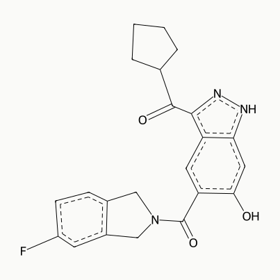 O=C(c1n[nH]c2cc(O)c(C(=O)N3Cc4ccc(F)cc4C3)cc12)C1CCCC1